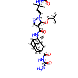 CC(=O)NC(C)(C)/C=C/n1ncc(C(=O)N[C@H]2C3CC4CC2C[C@](C(=O)NC(N)=O)(C4)C3)c1OCC(C)C